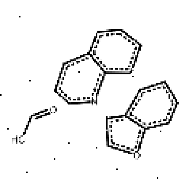 O=CO.c1ccc2ncccc2c1.c1ccc2occc2c1